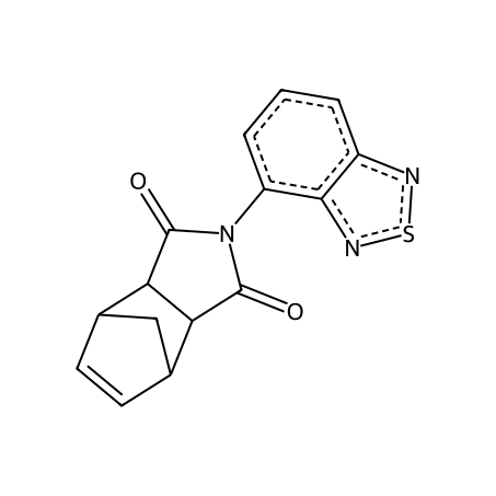 O=C1C2C3C=CC(C3)C2C(=O)N1c1cccc2nsnc12